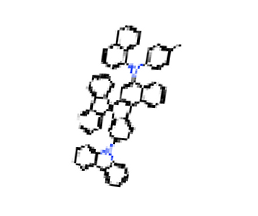 Cc1ccc(N(c2cccc3ccccc23)c2cc3c(c4ccccc24)-c2ccc(-n4c5ccccc5c5ccccc54)cc2C32c3ccccc3-c3ccccc32)cc1